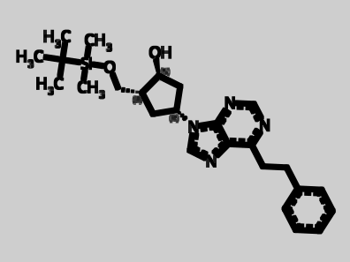 CC(C)(C)[Si](C)(C)OC[C@H]1C[C@@H](n2cnc3c(CCc4ccccc4)ncnc32)C[C@@H]1O